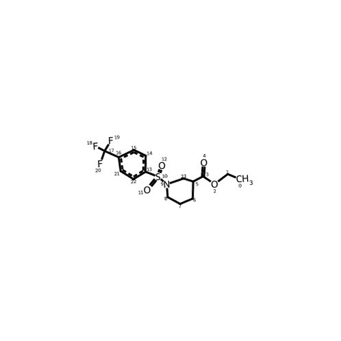 CCOC(=O)C1CCCN(S(=O)(=O)c2ccc(C(F)(F)F)cc2)C1